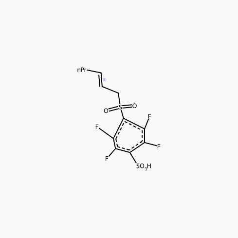 CCC/C=C/CS(=O)(=O)c1c(F)c(F)c(S(=O)(=O)O)c(F)c1F